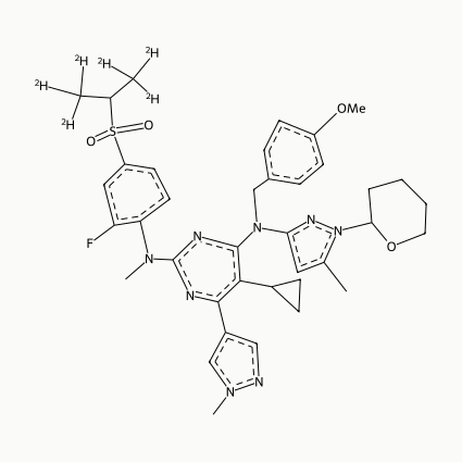 [2H]C([2H])([2H])C(C([2H])([2H])[2H])S(=O)(=O)c1ccc(N(C)c2nc(-c3cnn(C)c3)c(C3CC3)c(N(Cc3ccc(OC)cc3)c3cc(C)n(C4CCCCO4)n3)n2)c(F)c1